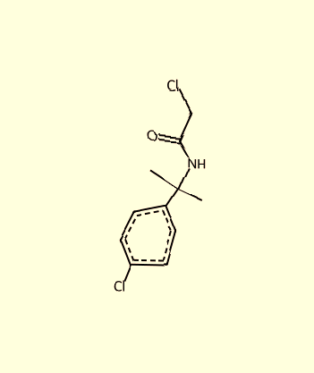 CC(C)(NC(=O)CCl)c1ccc(Cl)cc1